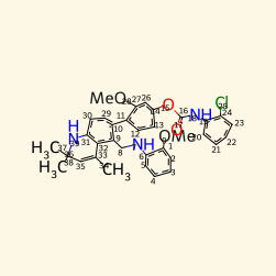 COc1ccccc1NCc1c(-c2ccc(OC(=O)Nc3ccccc3Cl)cc2OC)ccc2c1C(C)=CC(C)(C)N2